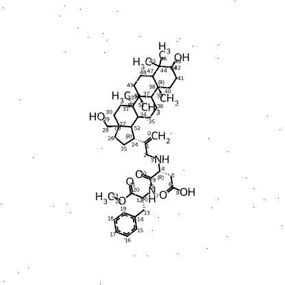 C=C(CN[C@H](CC(=O)O)C(=O)N[C@H](Cc1ccccc1)C(=O)OC)[C@@H]1CC[C@]2(CO)CC[C@]3(C)C(CCC4[C@@]5(C)CC[C@H](O)C(C)(C)C5CC[C@]43C)C12